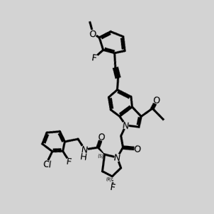 COc1cccc(C#Cc2ccc3c(c2)c(C(C)=O)cn3CC(=O)N2C[C@H](F)C[C@H]2C(=O)NCc2cccc(Cl)c2F)c1F